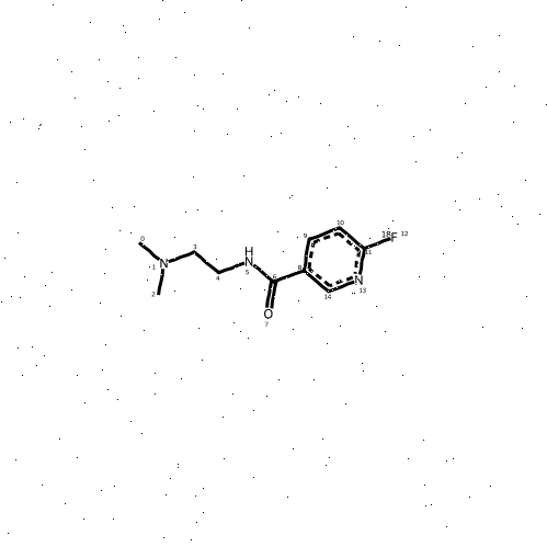 CN(C)CCNC(=O)c1ccc([18F])nc1